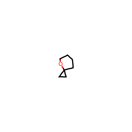 C1CCC2(CC2)OC1